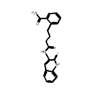 NC(=O)c1ccccc1CC[CH]C(=O)Nc1cc2ccccc2[nH]c1=O